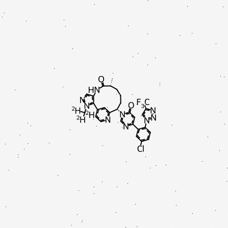 [2H]C([2H])([2H])n1ncc2c1-c1ccnc(c1)[C@@H](n1cnc(-c3cc(Cl)ccc3-n3cc(C(F)(F)F)nn3)cc1=O)CCC[C@@H](C)C(=O)N2